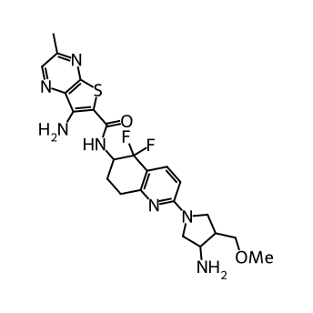 COCC1CN(c2ccc3c(n2)CCC(NC(=O)c2sc4nc(C)cnc4c2N)C3(F)F)CC1N